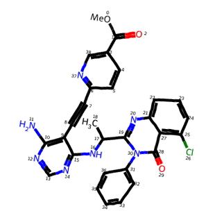 COC(=O)c1ccc(C#Cc2c(N)ncnc2NC(C)c2nc3cccc(Cl)c3c(=O)n2-c2ccccc2)nc1